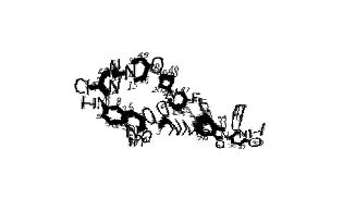 CNC(=O)COc1cc2cc(Nc3nc(N4CCC(O[C@H]5C[C@H](N6CC[C@@H](c7ccc8c(c7F)CN(C7CCC(=O)NC7=O)C8=O)[C@@H](F)C6)C5)CC4)ncc3Cl)ccc2n(C(C)C)c1=O